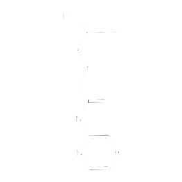 CC(O)CCSC(=S)Nc1ccccn1